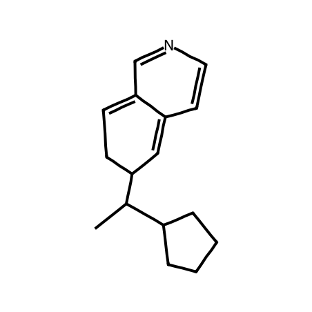 CC(C1C=c2ccncc2=CC1)C1CCCC1